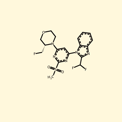 CS(=O)(=O)c1nc(N2CCOC[C@H]2CF)cc(-n2c(C(F)F)nc3ccccc32)n1